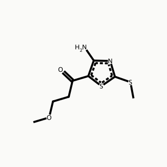 COCCC(=O)c1sc(SC)nc1N